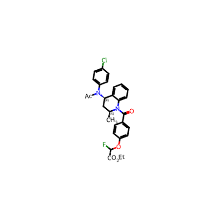 CCOC(=O)C(F)Oc1ccc(C(=O)N2c3ccccc3[C@H](N(C(C)=O)c3ccc(Cl)cc3)C[C@@H]2C)cc1